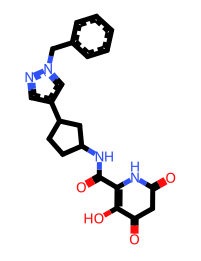 O=C1CC(=O)C(O)=C(C(=O)NC2CCC(c3cnn(Cc4ccccc4)c3)C2)N1